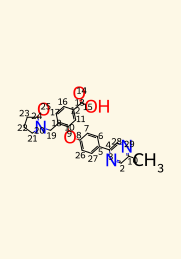 Cc1cnc(-c2ccc(Oc3cc(C(=O)O)ccc3CN3CCCC3=O)cc2)cn1